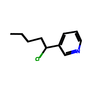 CCCCC(Cl)c1cccnc1